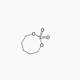 O=S1(=O)OCCCCCO1